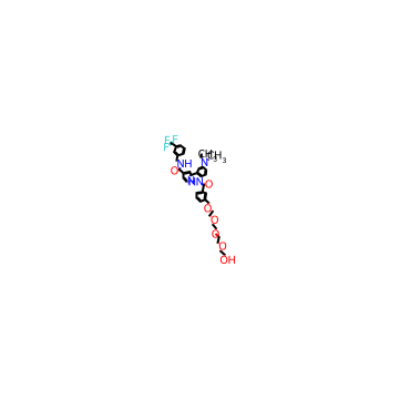 CCN(CC)c1ccc(NC(=O)c2cccc(COCCOCCOCCOCCO)c2)c(-c2cc(C(=O)NCc3cccc(C(F)(F)F)c3)ccn2)c1